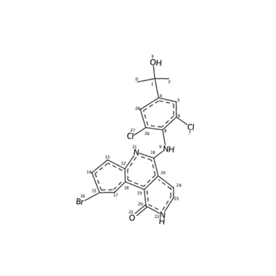 CC(C)(O)c1cc(Cl)c(Nc2nc3ccc(Br)cc3c3c(=O)[nH]ccc23)c(Cl)c1